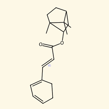 CC1(C)C2CCC1(C)C(OC(=O)/C=C/C1=CC=CCC1)C2